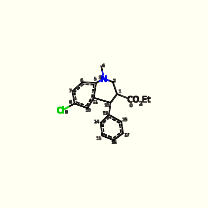 CCOC(=O)C1CN(C)c2ccc(Cl)cc2C1c1ccccc1